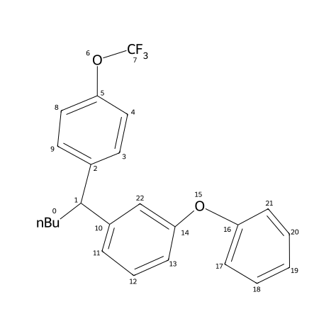 CCCCC(c1ccc(OC(F)(F)F)cc1)c1cccc(Oc2ccccc2)c1